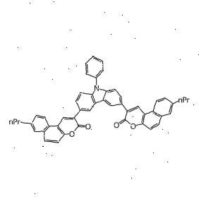 CCCc1ccc2c(ccc3oc(=O)c(-c4ccc5c(c4)c4cc(-c6cc7c(ccc8cc(CCC)ccc87)oc6=O)ccc4n5-c4ccccc4)cc32)c1